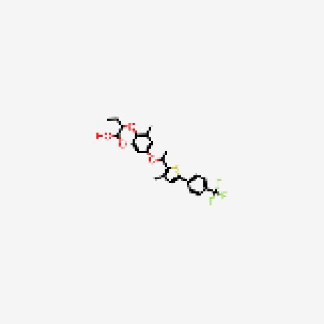 CCC(Oc1ccc(OC(C)c2sc(-c3ccc(C(F)(F)F)cc3)cc2C)cc1C)C(=O)O